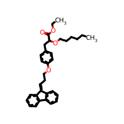 CCCCCCOC(Cc1ccc(OCCC=C2c3ccccc3-c3ccccc32)cc1)C(=O)OCC